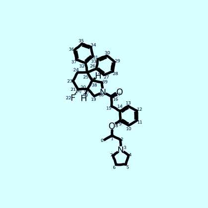 CC(CN1CCCC1)Oc1ccccc1CC(=O)N1C[C@@H]2[C@H](F)CCC(c3ccccc3)(c3ccccc3)[C@@H]2C1